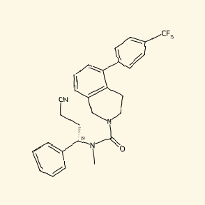 CN(C(=O)N1CCc2c(cccc2-c2ccc(C(F)(F)F)cc2)C1)[C@@H](CCC#N)c1ccccc1